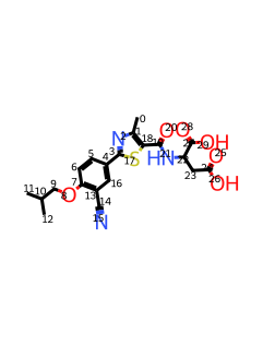 Cc1nc(-c2ccc(OCC(C)C)c(C#N)c2)sc1C(=O)NC(CC(=O)O)C(=O)O